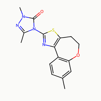 Cc1ccc2c(c1)OCCc1sc(-n3c(C)nn(C)c3=O)nc1-2